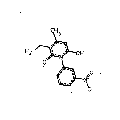 CCc1c(C)cc(O)n(-c2cccc([N+](=O)[O-])c2)c1=O